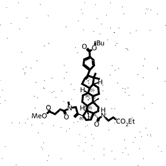 C=C(CN(C)C(=O)CCC(=O)OC)[C@@H]1CC[C@]2(C(=O)NCCC(=O)OCC)CC[C@]3(C)[C@H](CC[C@@H]4[C@@]5(C)CC=C(c6ccc(C(=O)OC(C)(C)C)cc6)C(C)(C)[C@@H]5CC[C@]43C)[C@@H]12